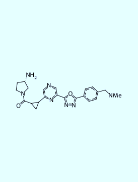 CNCc1ccc(-c2nnc(-c3cncc(C4CC4C(=O)N4CC[C@H](N)C4)n3)o2)cc1